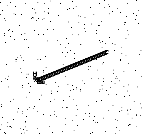 C=C=C=C=C=C=C=C=C=C=C=C=C=C=C=C=C=C=C=C=C=C=C=C=C=C=C=C=C=C=C=C=C=C=C=C=C=C=C=C=C=C=C=C=C(C(C)(C)C)C(C)(C)PC